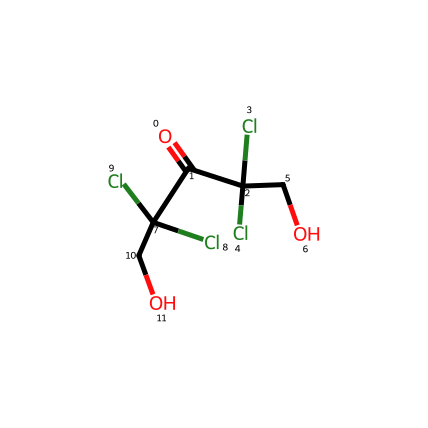 O=C(C(Cl)(Cl)CO)C(Cl)(Cl)CO